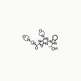 CC(O)c1nc2ccccc2n1-c1nc(N2CCOCC2)c2nc(C(=O)N3CC(N4CCOCC4)C3)n(C)c2n1